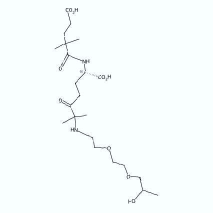 CC(O)COCCOCCNC(C)(C)C(=O)CC[C@H](NC(=O)C(C)(C)CCC(=O)O)C(=O)O